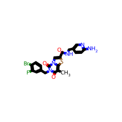 Cc1c(=O)n(Cc2ccc(Br)c(F)c2)c(=O)n2cc(C(=O)NCc3ccc(N)nc3)sc12